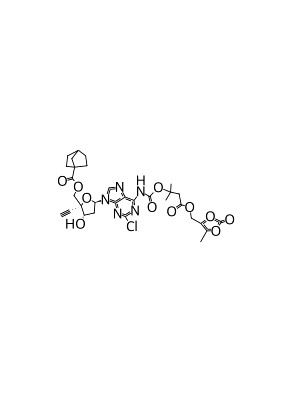 C#C[C@]1(COC(=O)C23CCC(CC2)C3)O[C@@H](n2cnc3c(NC(=O)OC(C)(C)CC(=O)OCc4oc(=O)oc4C)nc(Cl)nc32)C[C@@H]1O